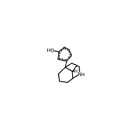 C[C@@H]1C2CCCC1(c1cccc(O)c1)CCN2